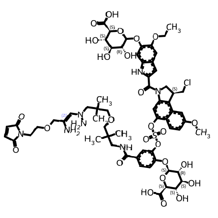 CCOc1cc2cc(C(=O)N3C[C@@H](CCl)c4c3cc(OS(=O)(=O)Oc3cc(C(=O)NCC(C)(C)COCC(C)(C)CN(N)/C=C(\N)COCCN5C(=O)C=CC5=O)ccc3O[C@@H]3O[C@H](C(=O)O)[C@@H](O)[C@H](O)[C@H]3O)c3ccc(OC)cc43)[nH]c2cc1OC1O[C@H](C(=O)O)[C@@H](O)[C@H](O)[C@H]1O